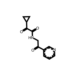 O=C(NCC(=O)c1cccnc1)C(=O)C1CC1